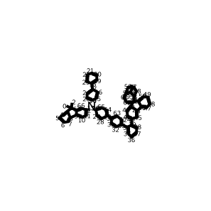 CC1(C)c2ccccc2-c2ccc(N(c3ccc(-c4ccccc4)cc3)c3ccc(-c4ccc(-c5ccccc5-c5ccc6c(c5)-c5ccccc5C65C6CC7CC(C6)CC5C7)cc4)cc3)cc21